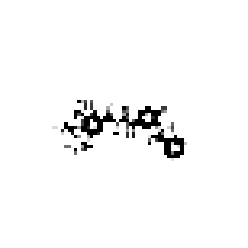 COc1cc(C(=O)NC(=S)NC2=CC(NC(=O)c3ccccc3)C(F)C=C2)cc(OC)c1OC